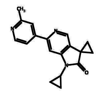 Cc1cc(-c2cc3c(cn2)C2(CC2)C(=O)N3C2CC2)ccn1